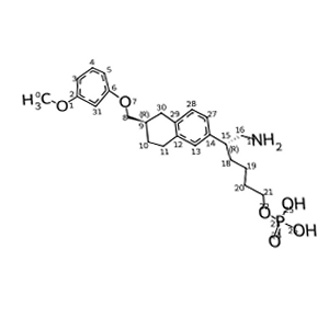 COc1cccc(OC[C@@H]2CCc3cc([C@H](CN)CCCCOP(=O)(O)O)ccc3C2)c1